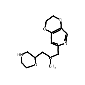 BN(Cc1cc2c(cn1)OCCO2)CC1CNCCO1